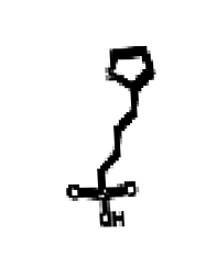 O=S(=O)(O)CCCCc1cccs1